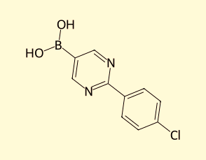 OB(O)c1cnc(-c2ccc(Cl)cc2)nc1